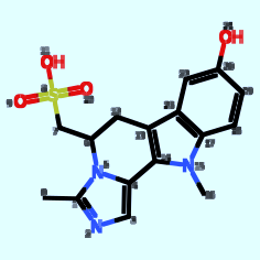 Cc1ncc2n1C(CS(=O)(=O)O)Cc1c-2n(C)c2ccc(O)cc12